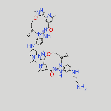 Cc1cc2cc(n1)-c1cnn(C)c1OCCC[C@@H](C1CC1)CN1/C(=N/C2=O)Nc2ccc(NC3CCN(C(C)C)C([n+]4cc5c(n4C)OCCC[C@@H](C4CC4)CN4/C(=N/C(=O)c6cc(C)nc-5c6)Nc5cc(NCCCCN)ccc54)C3)cc21